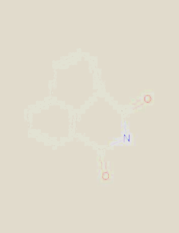 O=C1[N]C(=O)c2cccc3cccc1c23